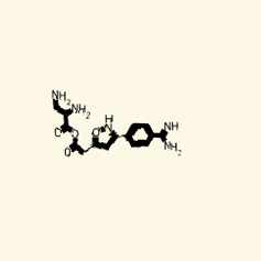 N=C(N)c1ccc([C@@H]2C[C@H](CC(=O)OC(=O)C(N)CN)ON2)cc1